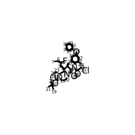 C=C(/C=C\C(F)=C/C)[C@@H](C(=O)N1CCN(C(=O)OC(C)(C)C)[C@@H](CC)C1)N(C(=O)CCl)c1ccc(Oc2ccccc2)cc1C